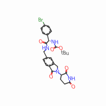 CC(C)(C)OC(=O)N[C@H](C(=O)NCc1ccc2c(c1)CN(C1CCC(=O)NC1=O)C2=O)c1ccc(Br)cc1